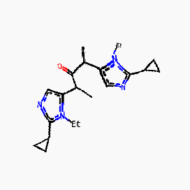 CCn1c(C(C)C(=O)C(C)c2cnc(C3CC3)n2CC)cnc1C1CC1